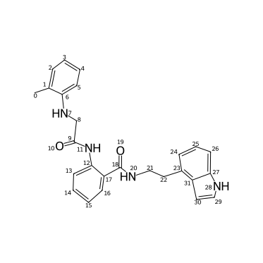 Cc1ccccc1NCC(=O)Nc1ccccc1C(=O)NCCc1cccc2[nH]ccc12